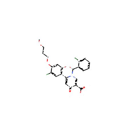 COCCCOc1cc2c(cc1Cl)-c1cc(=O)c(C(=O)O)cn1C(c1ccccc1Cl)O2